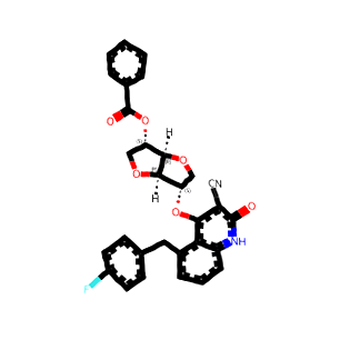 N#Cc1c(O[C@H]2CO[C@H]3[C@@H]2OC[C@@H]3OC(=O)c2ccccc2)c2c(Cc3ccc(F)cc3)cccc2[nH]c1=O